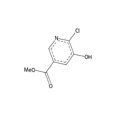 COC(=O)c1cnc(Cl)c(O)c1